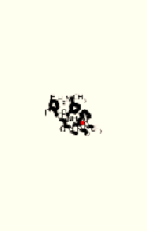 CC(N)c1cccc(C(=O)NC(COCc2ccc(F)cc2F)C(=O)N2CCN3C(=O)N(CC(F)(F)F)C(=O)C3(Cc3ccccn3)C2)c1